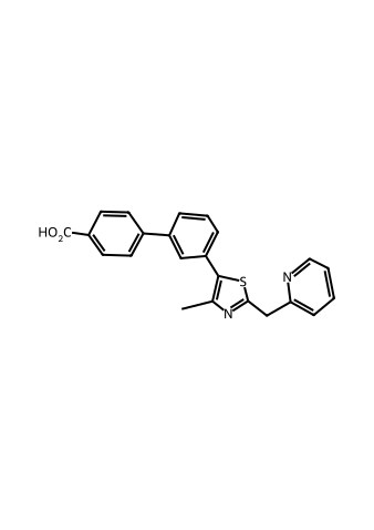 Cc1nc(Cc2ccccn2)sc1-c1cccc(-c2ccc(C(=O)O)cc2)c1